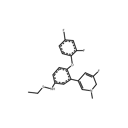 CCSNc1ccc(Oc2ccc(F)cc2F)c(C2=CN(C)CC(F)=C2)c1